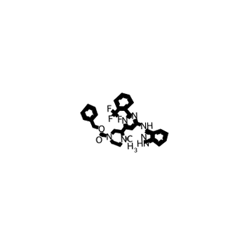 CN1CCN(C(=O)OCc2ccccc2)CC1c1cc(Nc2n[nH]c3ccccc23)nc(-c2ccccc2C(F)(F)F)n1